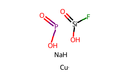 O=PO.O=[Si](O)F.[Cu].[NaH]